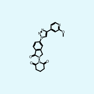 COc1cc(-c2cn(-c3ccc4c(c3)CN(N3C(=O)CCCC3=O)C4=O)nn2)ccn1